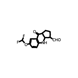 O=CC1CCC2C(=O)c3cc(OC(F)F)ccc3NC12